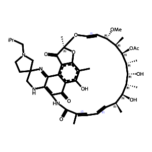 CO[C@H]1/C=C/O[C@@]2(C)Oc3c(C)c(O)c4c(c3C2=O)C2=NC3(CCN(CC(C)C)C3)CNC2=C(NC(=O)/C(C)=C\C=C\[C@H](C)[C@H](O)[C@@H](C)[C@@H](O)[C@@H](C)[C@H](OC(C)=O)[C@@H]1C)C4=O